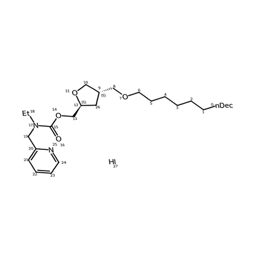 CCCCCCCCCCCCCCCCOC[C@H]1CO[C@H](COC(=O)N(CC)Cc2ccccn2)C1.I